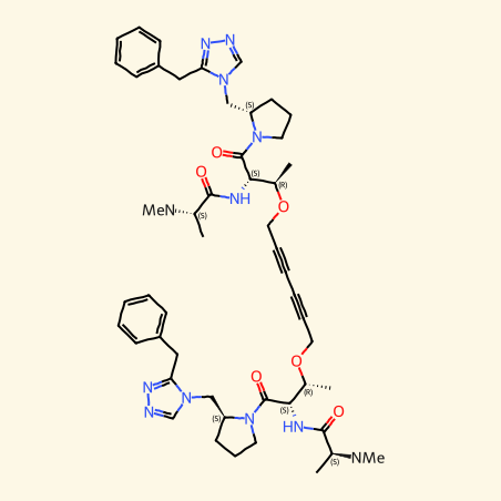 CN[C@@H](C)C(=O)N[C@H](C(=O)N1CCC[C@H]1Cn1cnnc1Cc1ccccc1)[C@@H](C)OCC#CC#CCO[C@H](C)[C@H](NC(=O)[C@H](C)NC)C(=O)N1CCC[C@H]1Cn1cnnc1Cc1ccccc1